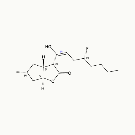 CCCC[C@@H](F)C/C=C(/O)[C@@H]1C(=O)O[C@H]2C[C@H](C)C[C@@H]21